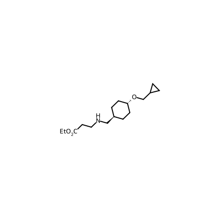 CCOC(=O)CCNC[C@H]1CC[C@H](OCC2CC2)CC1